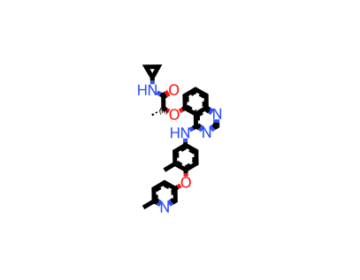 Cc1ccc(Oc2ccc(Nc3ncnc4cccc(O[C@H](C)C(=O)NC5CC5)c34)cc2C)cn1